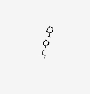 CC[C@H](C)COc1ccc(OC(=O)c2ccc(O)cc2)cc1